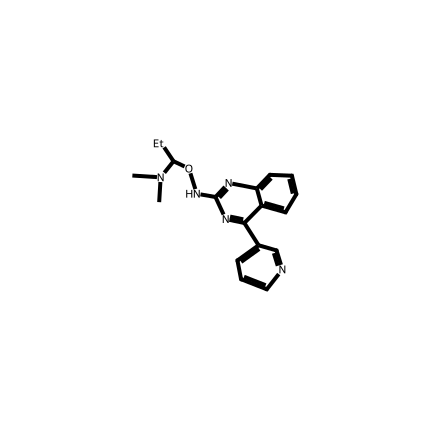 CCC(ONc1nc(-c2cccnc2)c2ccccc2n1)N(C)C